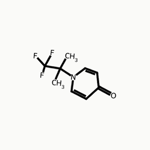 CC(C)(n1ccc(=O)cc1)C(F)(F)F